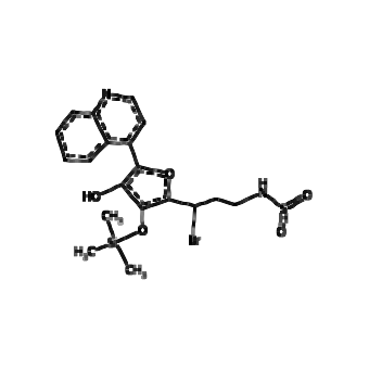 C[Si](C)(C)Oc1c(C(Br)CCN[SH](=O)=O)oc(-c2ccnc3ccccc23)c1O